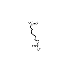 O=[N+]([O-])CCCCCO[N+](=O)[O-]